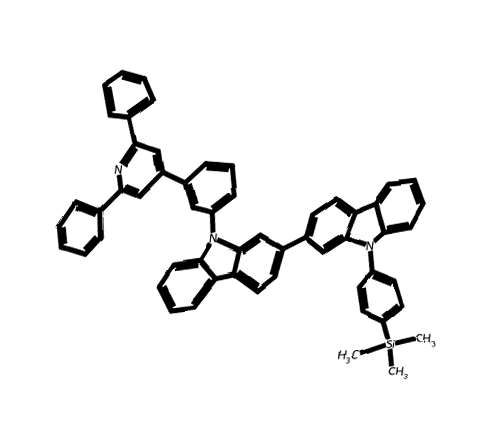 C[Si](C)(C)c1ccc(-n2c3ccccc3c3ccc(-c4ccc5c6ccccc6n(-c6cccc(-c7cc(-c8ccccc8)nc(-c8ccccc8)c7)c6)c5c4)cc32)cc1